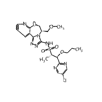 CCCO[C@@H](c1ncc(Cl)cn1)[C@H](C)S(=O)(=O)Nc1nnc2n1[C@H](COC)COc1ncccc1-2